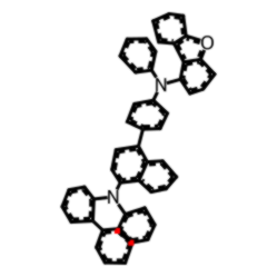 c1ccc(-c2ccccc2N(c2ccccc2)c2ccc(-c3ccc(N(c4ccccc4)c4cccc5oc6ccccc6c45)cc3)c3ccccc23)cc1